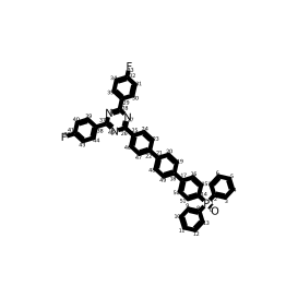 O=P(c1ccccc1)(c1ccccc1)c1ccc(-c2ccc(-c3ccc(-c4nc(-c5ccc(F)cc5)nc(-c5ccc(F)cc5)n4)cc3)cc2)cc1